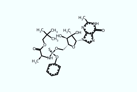 Cc1nc2c(ncn2[C@@H]2O[C@H](COP(=S)(N[C@@H](C)C(=O)OCC(C)(C)C)Oc3ccccc3)[C@@H](O)[C@@]2(C)O)c(=O)[nH]1